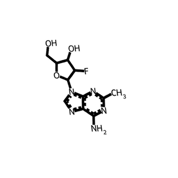 Cc1nc(N)c2ncn(C3OC(CO)C(O)C3F)c2n1